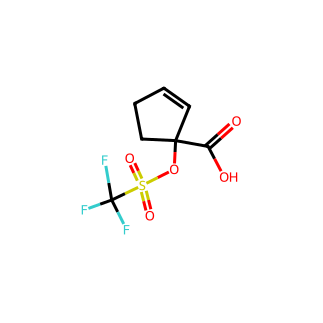 O=C(O)C1(OS(=O)(=O)C(F)(F)F)C=CCC1